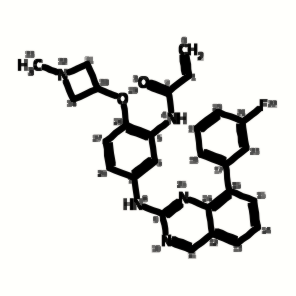 C=CC(=O)Nc1cc(Nc2ncc3cccc(-c4cccc(F)c4)c3n2)ccc1OC1CN(C)C1